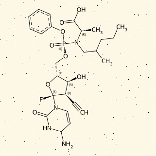 C#C[C@@H]1[C@H](O)[C@@H](CO[P@@](=O)(Oc2ccccc2)N(CC(C)CCC)[C@H](C)C(=O)O)O[C@@]1(F)N1C=CC(N)NC1=O